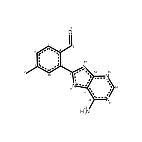 Cc1ccc(C=O)c(-c2nc3c(N)ncnc3s2)c1